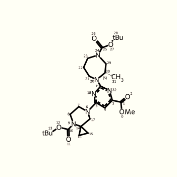 COC(=O)c1cc(N2CCN(C(=O)OC(C)(C)C)C3(CC3)C2)nc(N2CCCN(C(=O)OC(C)(C)C)C[C@@H]2C)n1